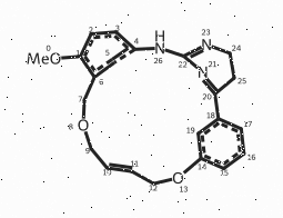 COc1ccc2cc1COC/C=C/COc1cccc(c1)C1=NC(=NCC1)N2